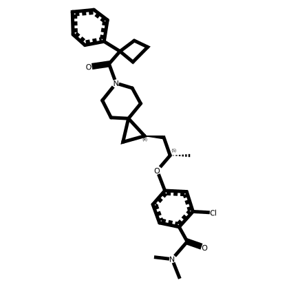 C[C@@H](C[C@H]1CC12CCN(C(=O)C1(c3ccccc3)CCC1)CC2)Oc1ccc(C(=O)N(C)C)c(Cl)c1